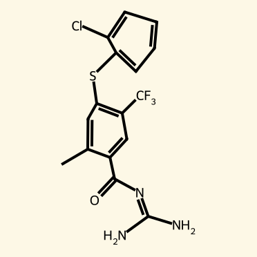 Cc1cc(Sc2ccccc2Cl)c(C(F)(F)F)cc1C(=O)N=C(N)N